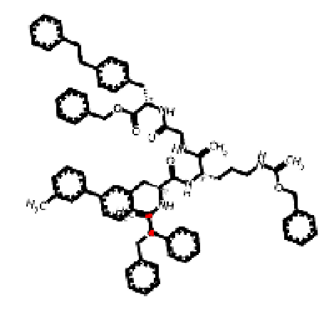 C=C(NCCC[C@H](NC(=O)[C@H](Cc1cc(-c2cccc(C)c2)ccc1OCc1ccccc1)NC(=C)OCc1ccccc1)C(=C)NCC(=O)N[C@@H](Cc1ccc(CCc2ccccc2)cc1)C(=O)OCc1ccccc1)OCc1ccccc1